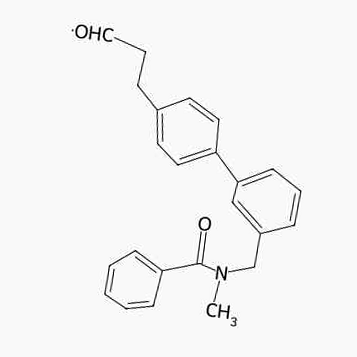 CN(Cc1cccc(-c2ccc(CC[C]=O)cc2)c1)C(=O)c1ccccc1